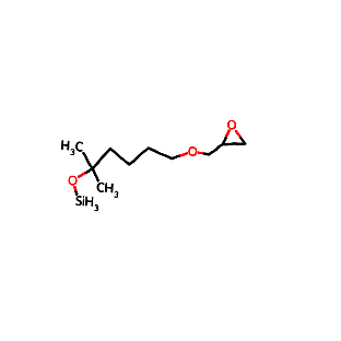 CC(C)(CCCCOCC1CO1)O[SiH3]